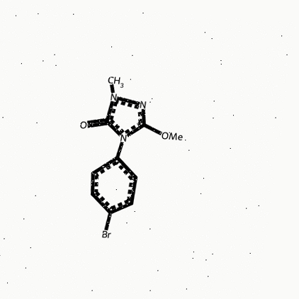 COc1nn(C)c(=O)n1-c1ccc(Br)cc1